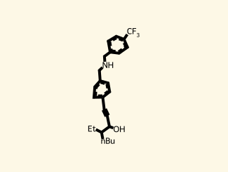 CCCCC(CC)C(O)C#Cc1ccc(CNCc2ccc(C(F)(F)F)cc2)cc1